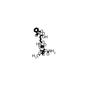 CCOC(=O)C1(COC(N)=O)CS[C@@H]2C(NC(=O)CCCC(C(=O)O)N3C(=O)c4ccccc4C3=O)C(=O)N2C1